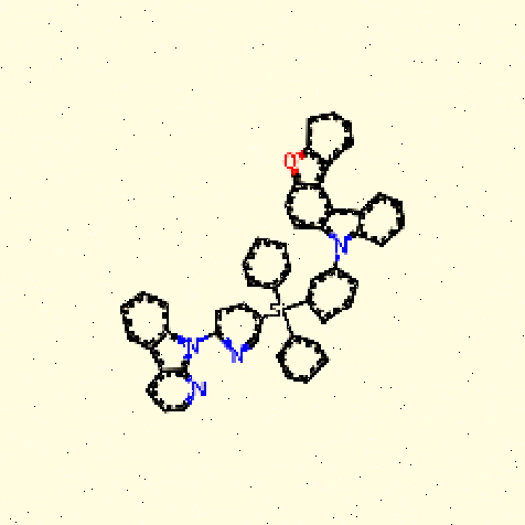 c1ccc([Si](c2ccccc2)(c2ccc(-n3c4ccccc4c4cccnc43)nc2)c2cccc(-n3c4ccccc4c4c5c(ccc43)oc3ccccc35)c2)cc1